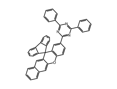 c1ccc(-c2nc(-c3ccccc3)nc(-c3ccc4c(c3)C3(c5cc6ccccc6cc5O4)c4ccccc4-c4ccccc43)n2)cc1